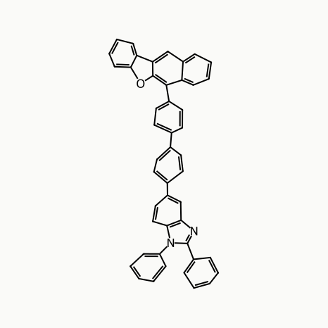 c1ccc(-c2nc3cc(-c4ccc(-c5ccc(-c6c7ccccc7cc7c6oc6ccccc67)cc5)cc4)ccc3n2-c2ccccc2)cc1